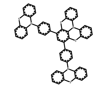 c1ccc2c(c1)Sc1c(-c3ccc(N4c5ccccc5Sc5ccccc54)cc3)cc(-c3ccc(N4c5ccccc5Sc5ccccc54)cc3)c3c1B2c1ccccc1S3